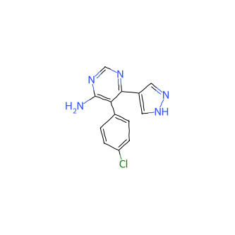 Nc1ncnc(-c2cn[nH]c2)c1-c1ccc(Cl)cc1